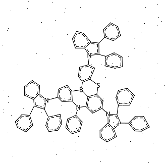 c1ccc(-c2c(-c3ccccc3)n(-c3ccc4c(c3)Sc3cc(-n5c(-c6ccccc6)c(-c6ccccc6)c6ccccc65)cc5c3B4c3ccc(-n4c(-c6ccccc6)c(-c6ccccc6)c6ccccc64)cc3N5c3ccccc3)c3ccccc23)cc1